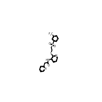 O=C(Cc1ccccn1)Nc1cccnc1SCCS(=O)(=O)c1cccc(C(F)(F)F)c1